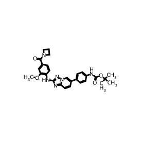 COc1cc(C(=O)N2CCC2)ccc1Nc1nc2ccc(-c3ccc(NC(=O)OC(C)(C)C)cc3)cn2n1